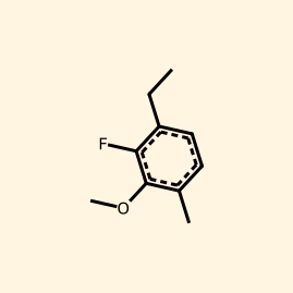 CCc1ccc(C)c(OC)c1F